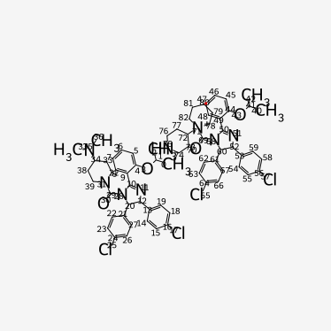 CC(C)Oc1ccccc1C1=NC(c2ccc(Cl)cc2)C(c2ccc(Cl)cc2)N1C(=O)N1CCC(N(C)C)CC1.CC(C)Oc1ccccc1C1=NC(c2ccc(Cl)cc2)C(c2ccc(Cl)cc2)N1C(=O)[N+]1(C2CCNCC2)CCCCC1